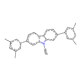 C#Cn1c2cc(-c3cc(C)cc(C)c3)ccc2c2ccc(-c3cc(C)cc(C)c3)cc21